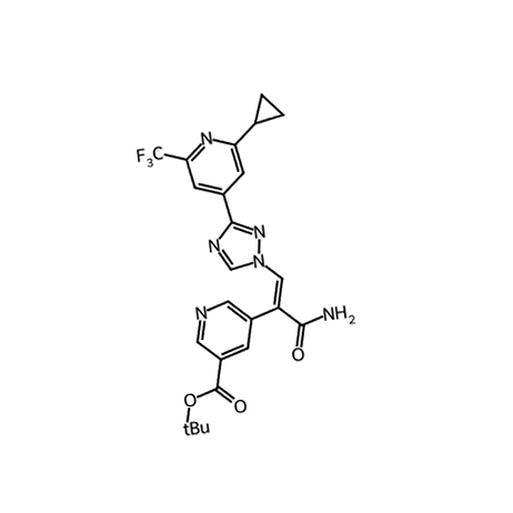 CC(C)(C)OC(=O)c1cncc(/C(=C\n2cnc(-c3cc(C4CC4)nc(C(F)(F)F)c3)n2)C(N)=O)c1